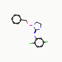 Clc1ccc(Cl)c(/N=C2\NCCN2OCc2ccccc2)c1